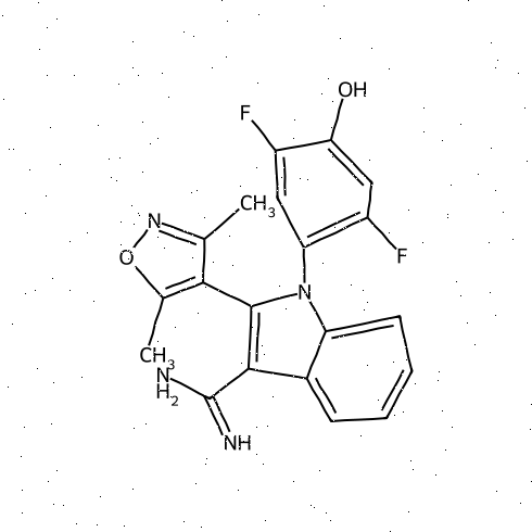 Cc1noc(C)c1-c1c(C(=N)N)c2ccccc2n1-c1cc(F)c(O)cc1F